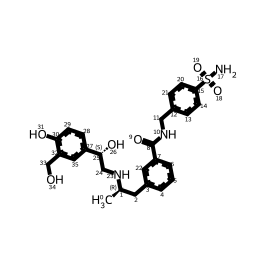 C[C@H](Cc1cccc(C(=O)NCc2ccc(S(N)(=O)=O)cc2)c1)NC[C@@H](O)c1ccc(O)c(CO)c1